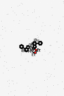 CCCC1=Cc2c(-c3ccccc3C(C)CC)cccc2[CH]1[Zr]([Cl])([Cl])([B](NC(=O)CC)NC(=O)CC)[CH]1C(CCC)=Cc2c(-c3ccccc3C(C)CC)cccc21